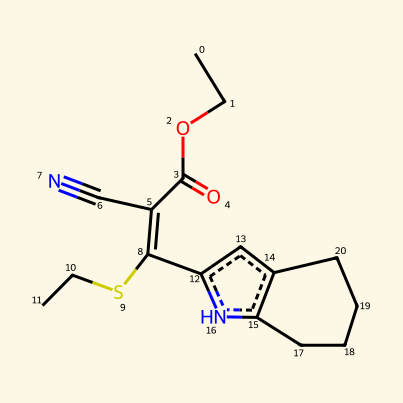 CCOC(=O)C(C#N)=C(SCC)c1cc2c([nH]1)CCCC2